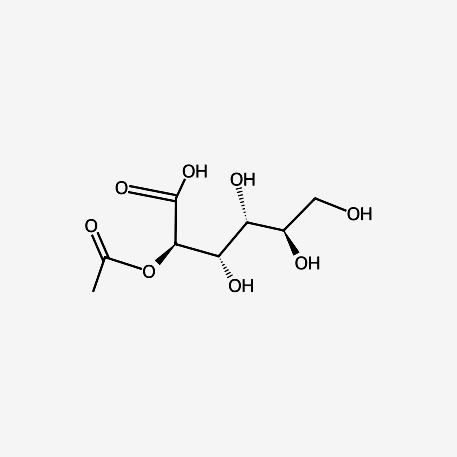 CC(=O)O[C@@H](C(=O)O)[C@@H](O)[C@H](O)[C@H](O)CO